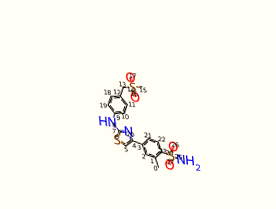 Cc1cc(-c2csc(Nc3ccc(CS(C)(=O)=O)cc3)n2)ccc1S(N)(=O)=O